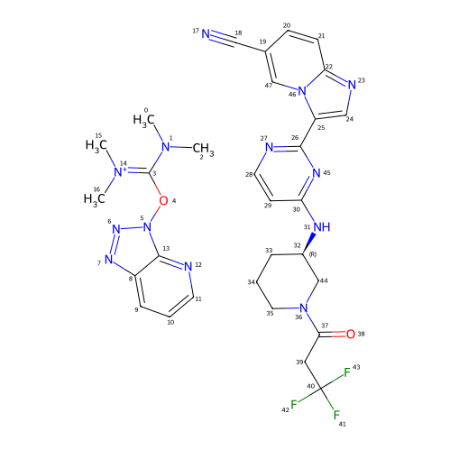 CN(C)C(On1nnc2cccnc21)=[N+](C)C.N#Cc1ccc2ncc(-c3nccc(N[C@@H]4CCCN(C(=O)CC(F)(F)F)C4)n3)n2c1